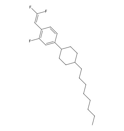 CCCCCCCCC1CCC(c2ccc(C=C(F)F)c(F)c2)CC1